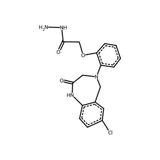 NNC(=O)COc1ccccc1N1CC(=O)Nc2ccc(Cl)cc2C1